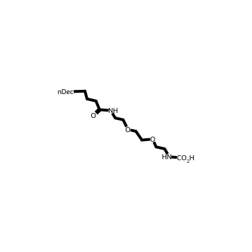 CCCCCCCCCCCCCC(=O)NCCOCCOCCNC(=O)O